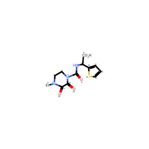 CCN1CCN(C(=O)NC(C(=O)O)c2cccs2)C(=O)C1=O